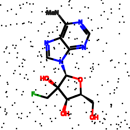 CNc1ncnc2c1ncn2[C@@H]1O[C@H](CO)[C@@H](O)[C@]1(O)CF